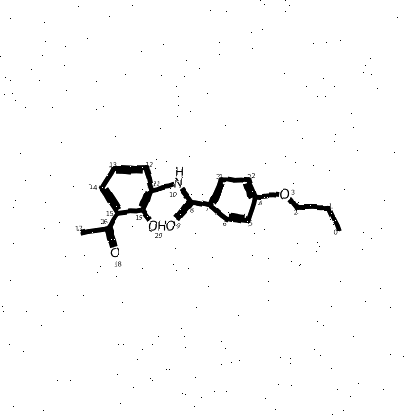 CCCOc1ccc(C(=O)Nc2cccc(C(C)=O)c2O)cc1